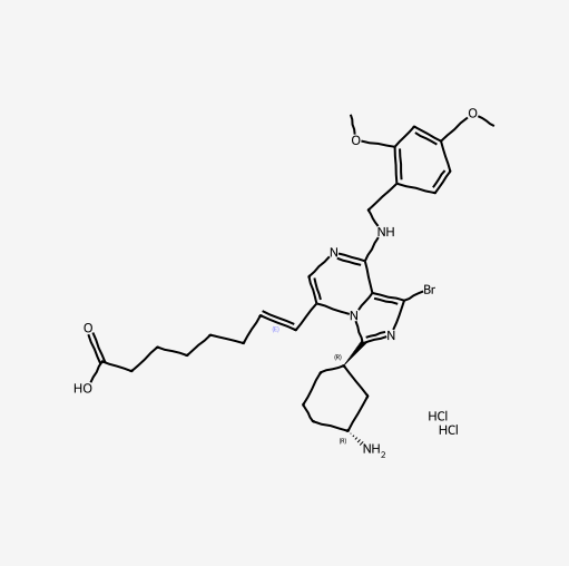 COc1ccc(CNc2ncc(/C=C/CCCCCC(=O)O)n3c([C@@H]4CCC[C@@H](N)C4)nc(Br)c23)c(OC)c1.Cl.Cl